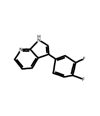 Fc1ccc(-c2c[nH]c3ncccc23)cc1F